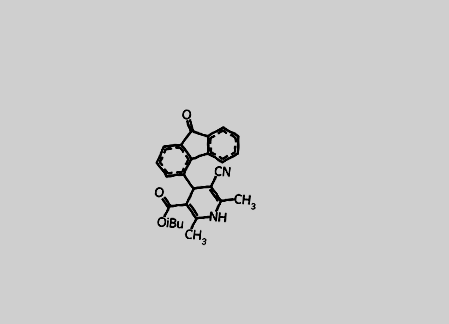 CC1=C(C#N)C(c2cccc3c2-c2ccccc2C3=O)C(C(=O)OCC(C)C)=C(C)N1